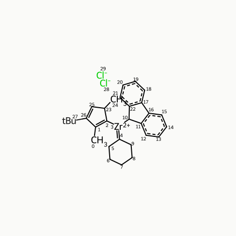 CC1=[C]([Zr+2](=[C]2CCCCC2)[CH]2c3ccccc3-c3ccccc32)C(C)C=C1C(C)(C)C.[Cl-].[Cl-]